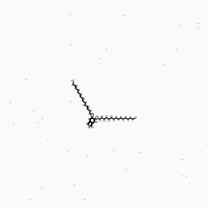 CCCCCCCCCCCCCCCCOc1cc2cscc2cc1OCCCCCCCCCCCCCCCC